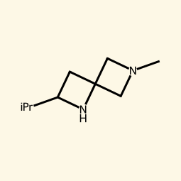 CC(C)C1CC2(CN(C)C2)N1